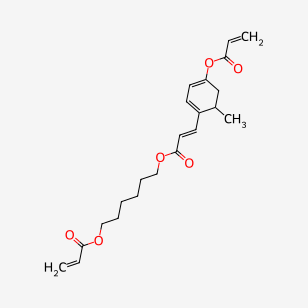 C=CC(=O)OCCCCCCOC(=O)/C=C/C1=CC=C(OC(=O)C=C)CC1C